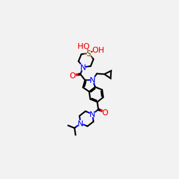 CC(C)N1CCN(C(=O)c2ccc3c(c2)cc(C(=O)N2CCS(O)(O)CC2)n3CC2CC2)CC1